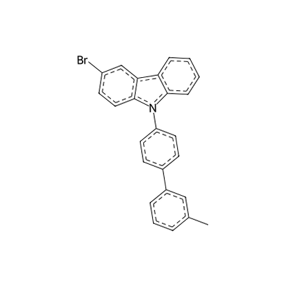 Cc1cccc(-c2ccc(-n3c4ccccc4c4cc(Br)ccc43)cc2)c1